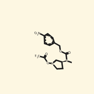 CN(C(=O)OCc1ccc([N+](=O)[O-])cc1)[C@H]1CCN(OC(=O)C(F)(F)F)C1